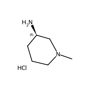 CN1CCC[C@@H](N)C1.Cl